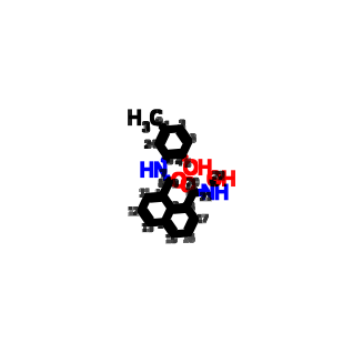 Cc1ccc(O)c(NC(=O)c2cccc3cccc(C(=O)NO)c23)c1